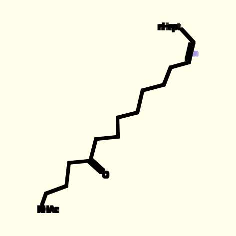 CCCCCCC/C=C\CCCCCCCC(=O)CCCNC(C)=O